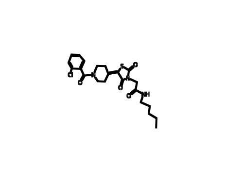 CCCCCNC(=O)CN1C(=O)SC(=C2CCN(C(=O)c3ccccc3Cl)CC2)C1=O